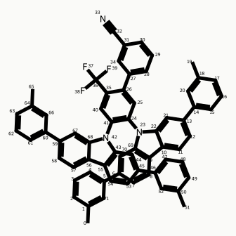 Cc1cccc(-c2ccc3c4ccc(-c5cccc(C)c5)cc4n(-c4cc(-c5cccc(C#N)c5)c(C(F)(F)F)cc4-n4c5cc(-c6cccc(C)c6)ccc5c5ccc(-c6cccc(C)c6)cc54)c3c2)c1